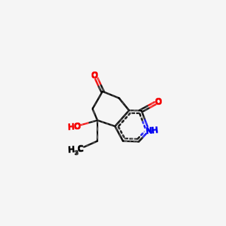 CCC1(O)CC(=O)Cc2c1cc[nH]c2=O